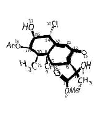 COC(=O)C(C)(O)[C@H]1C[C@@]2(C)C(=CC1=O)[C@@H](Cl)[C@H](O)[C@H](OC(C)=O)[C@@H]2C